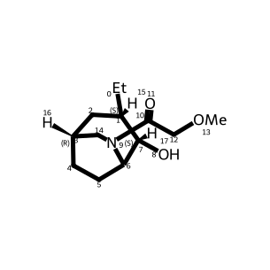 CC[C@H]1C[C@H]2CCC([C@H]1O)N(C(=O)COC)C2